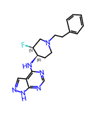 F[C@H]1CN(CCc2ccccc2)CC[C@H]1Nc1ncnc2[nH]ncc12